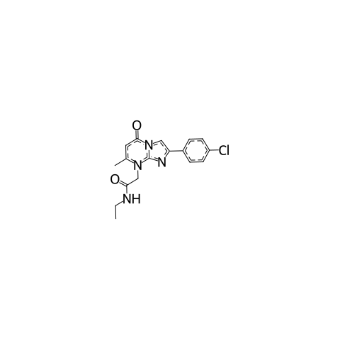 CCNC(=O)Cn1c(C)cc(=O)n2cc(-c3ccc(Cl)cc3)nc12